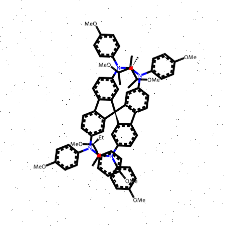 CC[C@H](OC)C(C)N(c1ccc(OC)cc1)c1ccc2c(c1)[C@]1(c3cc(N(c4ccc(OC)cc4)c4ccc(OC)cc4)ccc3-c3ccc(N(c4ccc(OC)cc4)[C@H](C)C(C)OC)cc31)c1cc(N(c3ccc(OC)cc3)C(C)C(C)OC)ccc1-2